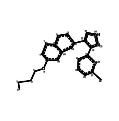 CCCCOc1cnc2ccc(-c3c[nH]nc3-c3cccc(C)n3)cc2c1